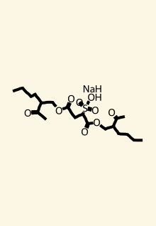 CCCCC(COC(=O)CC(C(=O)OCC(CCCC)C(C)=O)S(=O)(=O)O)C(C)=O.[NaH]